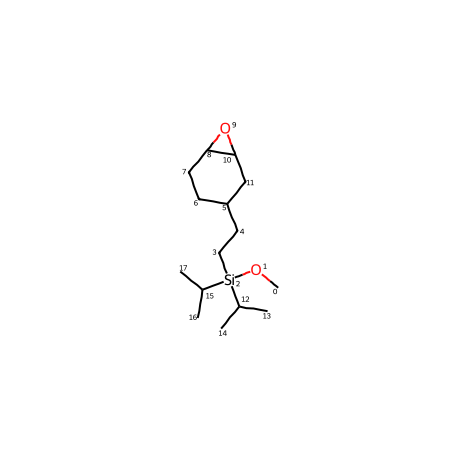 CO[Si](CCC1CCC2OC2C1)(C(C)C)C(C)C